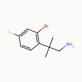 CC(C)(CN)c1ccc(F)cc1Br